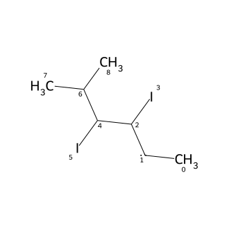 C[CH]C(I)C(I)C(C)C